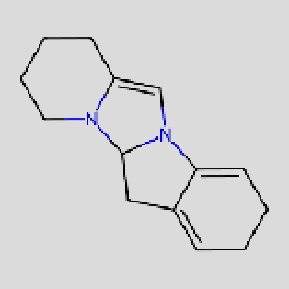 C1=C2CC3N(C=C4CCCCN43)C2=CCC1